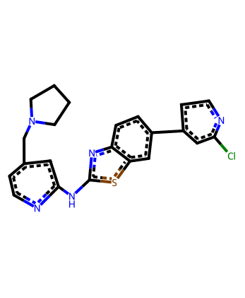 Clc1cc(-c2ccc3nc(Nc4cc(CN5CCCC5)ccn4)sc3c2)ccn1